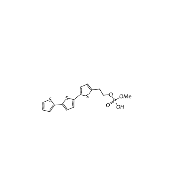 COP(=O)(O)OCCc1ccc(-c2ccc(-c3cccs3)s2)s1